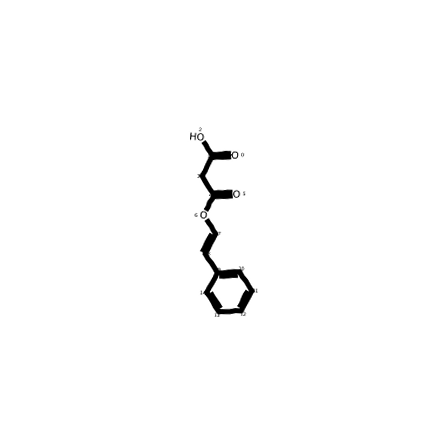 O=C(O)CC(=O)OC=Cc1ccccc1